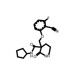 N#Cc1c(F)cccc1OCC1(C(=O)NC2CCCC2)CCCNC1=O